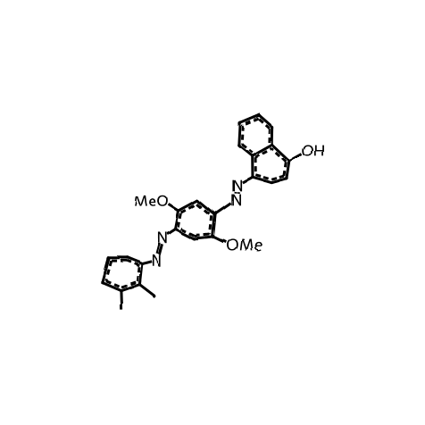 COc1cc(/N=N/c2ccc(O)c3ccccc23)c(OC)cc1/N=N/c1cccc(C)c1C